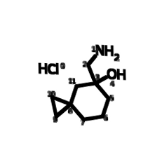 Cl.NCC1(O)CCCC2(CC2)C1